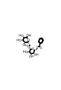 O=C(OC[C@H]1O[C@H](OC[C@H]2OC(O)[C@H](O)[C@@H](O)[C@H]2O)[C@H](O)[C@@H](O)[C@H]1O)c1ccccc1